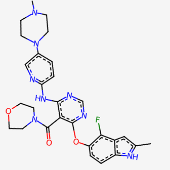 Cc1cc2c(F)c(Oc3ncnc(Nc4ccc(N5CCN(C)CC5)cn4)c3C(=O)N3CCOCC3)ccc2[nH]1